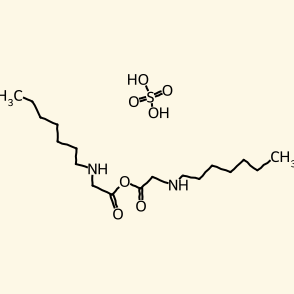 CCCCCCCNCC(=O)OC(=O)CNCCCCCCC.O=S(=O)(O)O